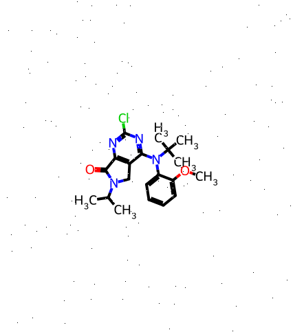 COc1ccccc1N(c1nc(Cl)nc2c1CN(C(C)C)C2=O)C(C)(C)C